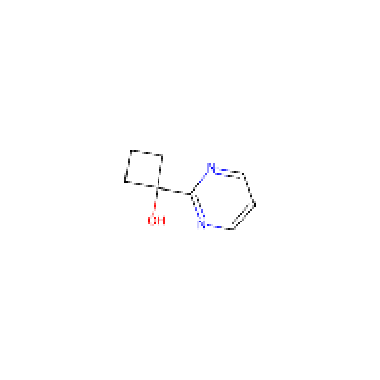 OC1(c2ncccn2)CCC1